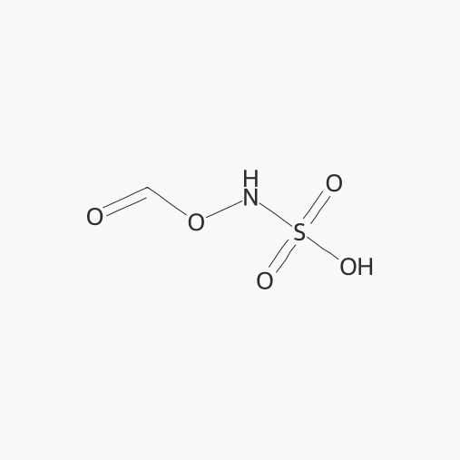 O=CONS(=O)(=O)O